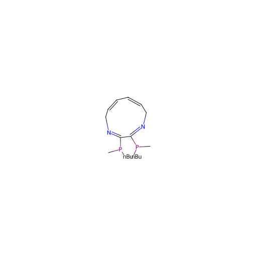 CCCCP(C)C1=N/C/C=C\C=C/C/N=C\1P(C)CCCC